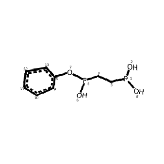 OP(O)CCP(O)Oc1ccccc1